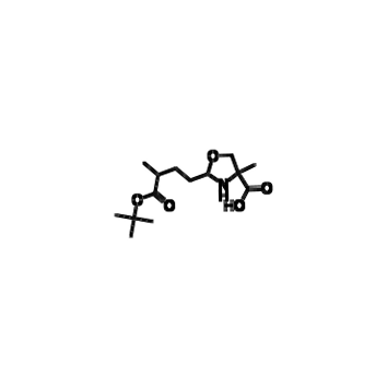 CC(CCC1NC(C)(C(=O)O)CO1)C(=O)OC(C)(C)C